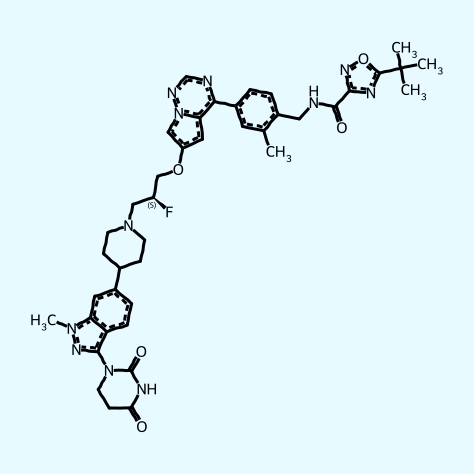 Cc1cc(-c2ncnn3cc(OC[C@@H](F)CN4CCC(c5ccc6c(N7CCC(=O)NC7=O)nn(C)c6c5)CC4)cc23)ccc1CNC(=O)c1noc(C(C)(C)C)n1